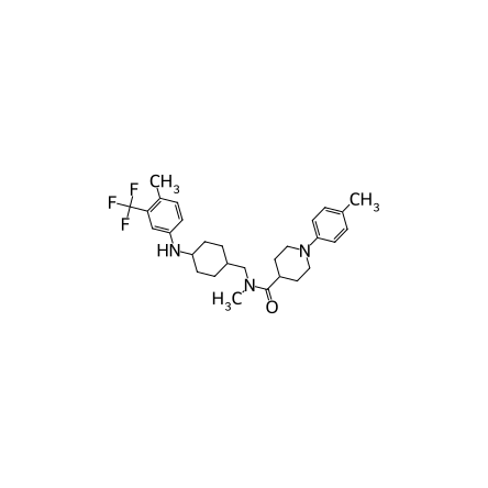 Cc1ccc(N2CCC(C(=O)N(C)CC3CCC(Nc4ccc(C)c(C(F)(F)F)c4)CC3)CC2)cc1